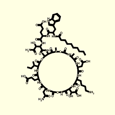 CCCCCCCCCC(=O)NC(Cc1c[nH]c2ccccc12)C(=O)NC(CCC(=O)O)C(=O)NC(C(=O)NC1C(=O)N(C)CC(=O)NC(C)C(=O)NC(CC(=O)O)C(=O)NC(CCCCN)C(=O)NC(C(O)C(=O)O)C(=O)NCC(=O)NC(CC(N)=O)C(=O)NC(CCC(=O)O)C(=O)NC(C(C)CC)C(=O)OC1C)C(O)C(N)=O